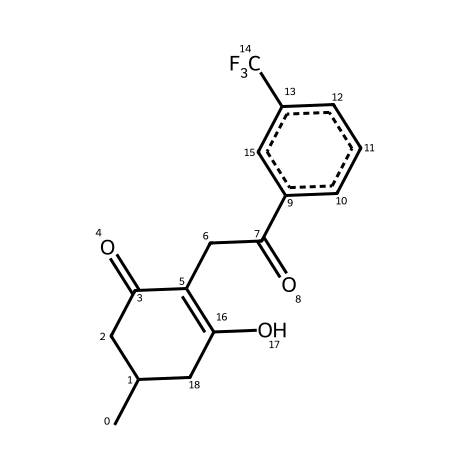 CC1CC(=O)C(CC(=O)c2cccc(C(F)(F)F)c2)=C(O)C1